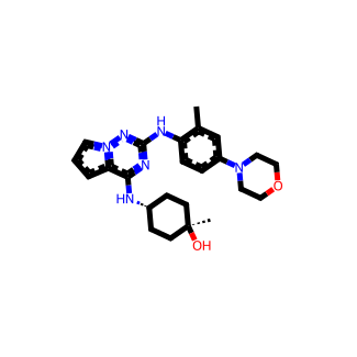 Cc1cc(N2CCOCC2)ccc1Nc1nc(N[C@H]2CC[C@](C)(O)CC2)c2cccn2n1